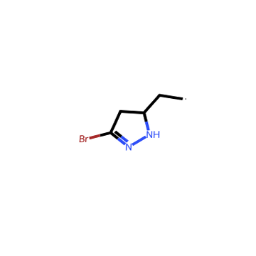 [CH2]CC1CC(Br)=NN1